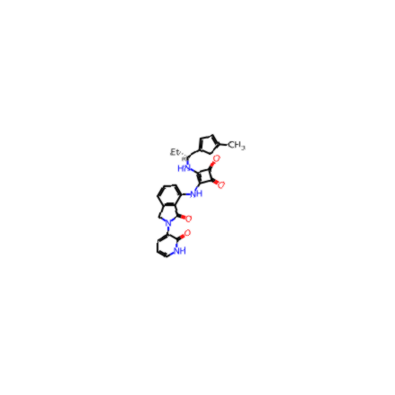 CC[C@@H](Nc1c(Nc2cccc3c2C(=O)N(c2ccc[nH]c2=O)C3)c(=O)c1=O)C1=CC=C(C)C1